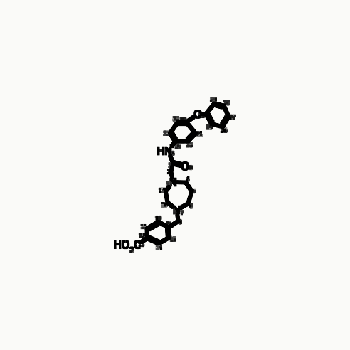 O=C(CN1CCCN(Cc2ccc(C(=O)O)cc2)CC1)Nc1ccc(Oc2ccccc2)cc1